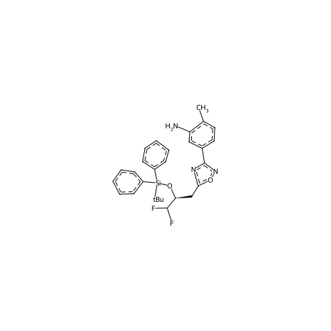 Cc1ccc(-c2noc(C[C@H](O[Si](c3ccccc3)(c3ccccc3)C(C)(C)C)C(F)F)n2)cc1N